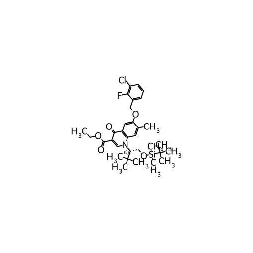 CCOC(=O)c1cn([C@H](CO[Si](C)(C)C(C)(C)C)C(C)(C)C)c2cc(C)c(OCc3cccc(Cl)c3F)cc2c1=O